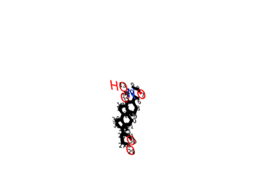 CC12CCC(C3COCCN3C(=O)O)CC1CCC1C2CCC2(C)C(c3ccc(=O)oc3)CCC12